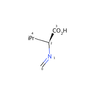 C=N[C@H](C(=O)O)C(C)C